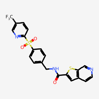 O=C(NCc1ccc(S(=O)(=O)c2ccc(C(F)(F)F)cn2)cc1)c1cc2ccncc2s1